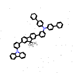 CC1(C)c2cc(-c3cccc(N(c4ccc(C5=CCCC=C5)cc4)c4ccc(-c5ccccc5)cc4)c3)ccc2-c2ccc(-c3cccc(N4c5ccccc5C5C=CC=CC54)c3)cc21